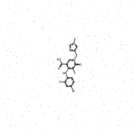 Cn1cnc(Cn2cc(C(=O)O)c(Nc3ccc(Br)cc3F)c(F)c2=O)c1